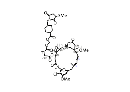 COc1cc2cc(c1Cl)N(C)C(=O)C[C@H](OC(=O)[C@H](C)N(C)C(=O)OCOC(=O)C1CCC(CN3C(=O)CC(SC)C3=O)CC1)[C@@H]1O[C@H]1[C@H](C)[C@@H]1C[C@@](O)(NC(=O)O1)[C@H](OC)/C=C/C=C(\C)C2